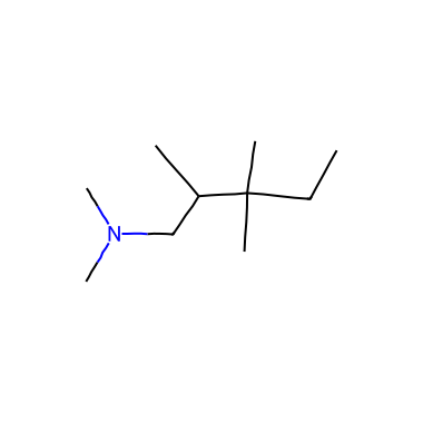 CCC(C)(C)C(C)CN(C)C